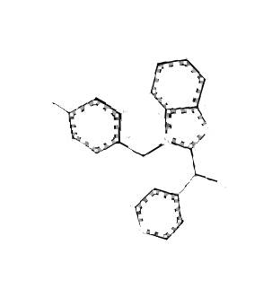 OC(c1ccncc1)c1nc2ccccc2n1Cc1ccc(F)cc1